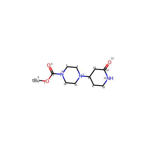 CC(C)(C)OC(=O)N1CCN(C2CCNC(=O)C2)CC1